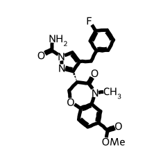 COC(=O)c1ccc2c(c1)N(C)C(=O)[C@@H](c1nn(C(N)=O)cc1Cc1cccc(F)c1)CO2